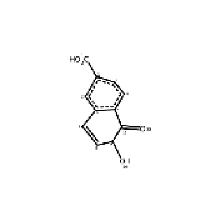 O=C(O)c1ccc2c(c1)C=CC(O)C2=O